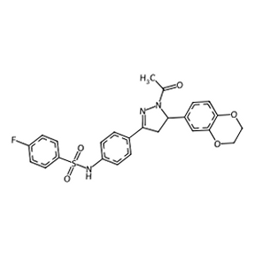 CC(=O)N1N=C(c2ccc(NS(=O)(=O)c3ccc(F)cc3)cc2)CC1c1ccc2c(c1)OCCO2